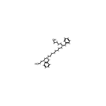 OCCCCN(CCCCCCCCN(CCCCO)Cc1ccccc1)Cc1ccccc1